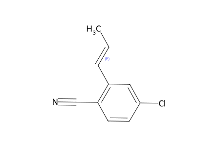 C/C=C/c1cc(Cl)ccc1C#N